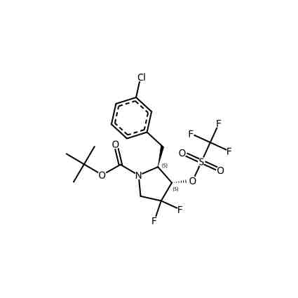 CC(C)(C)OC(=O)N1CC(F)(F)[C@@H](OS(=O)(=O)C(F)(F)F)[C@@H]1Cc1cccc(Cl)c1